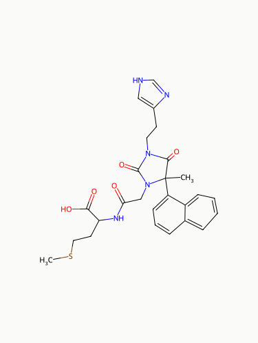 CSCCC(NC(=O)CN1C(=O)N(CCc2c[nH]cn2)C(=O)C1(C)c1cccc2ccccc12)C(=O)O